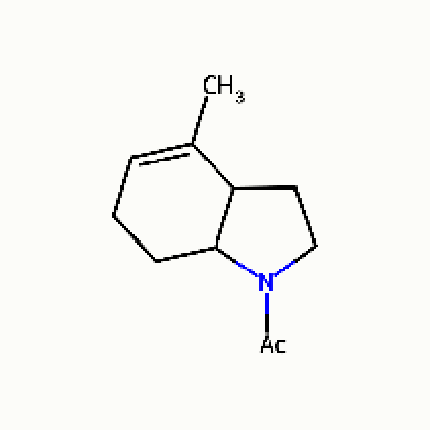 CC(=O)N1CCC2C(C)=CCCC21